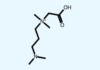 CN(C)CCC[N+](C)(C)CC(=O)O